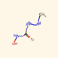 CNNC(=O)NO